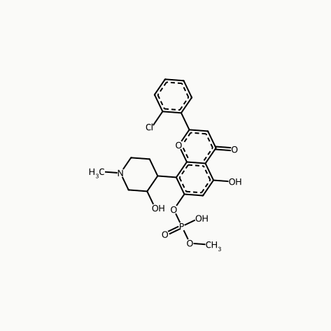 COP(=O)(O)Oc1cc(O)c2c(=O)cc(-c3ccccc3Cl)oc2c1C1CCN(C)CC1O